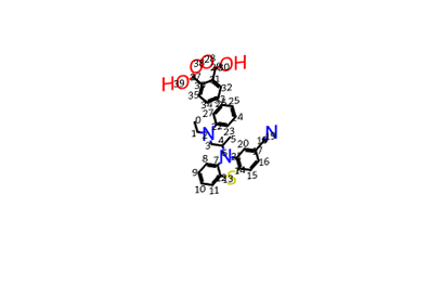 CCN(CC(C)N1c2ccccc2Sc2ccc(C#N)cc21)c1ccccc1.O=C(O)c1ccccc1C(=O)O